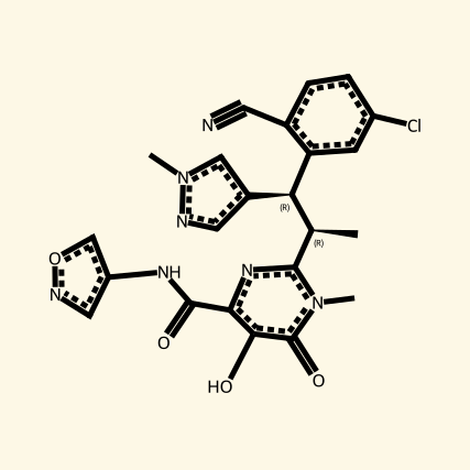 C[C@@H](c1nc(C(=O)Nc2cnoc2)c(O)c(=O)n1C)[C@@H](c1cnn(C)c1)c1cc(Cl)ccc1C#N